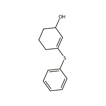 OC1C=C(Sc2ccccc2)CCC1